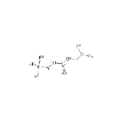 O=S(OCC(F)F)OCC(F)(F)F